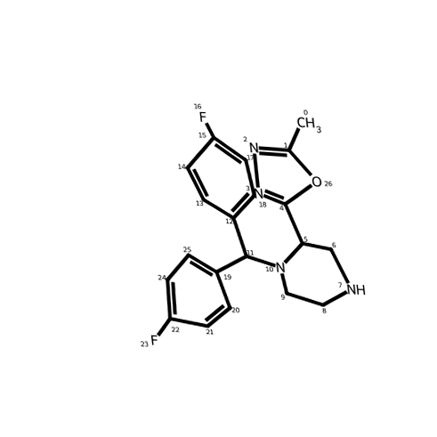 Cc1nnc(C2CNCCN2C(c2ccc(F)cc2)c2ccc(F)cc2)o1